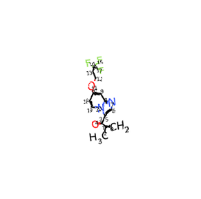 C=C(C)C(=O)c1cnc2cc(OCCC(F)(F)F)ccn12